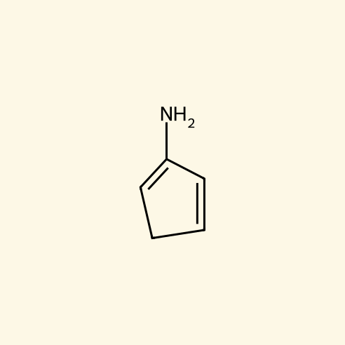 NC1=CCC=C1